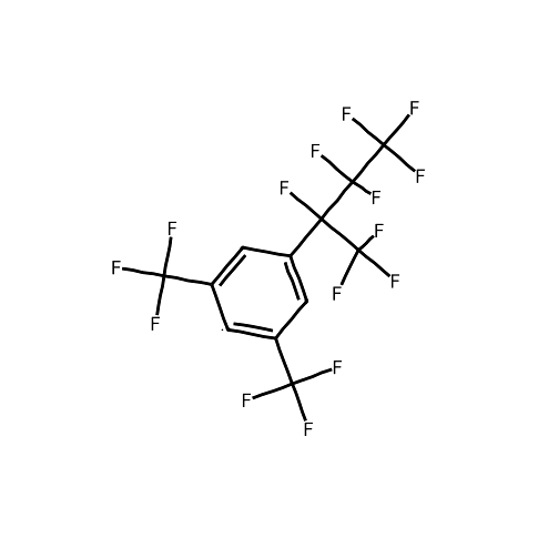 FC(F)(F)c1[c]c(C(F)(F)F)cc(C(F)(C(F)(F)F)C(F)(F)C(F)(F)F)c1